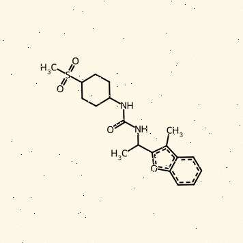 Cc1c(C(C)NC(=O)NC2CCC(S(C)(=O)=O)CC2)oc2ccccc12